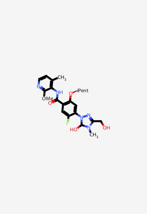 CCC[C@H](C)Oc1cc(N2N=C(CO)N(C)C2O)c(F)cc1C(=O)Nc1c(C)ccnc1OC